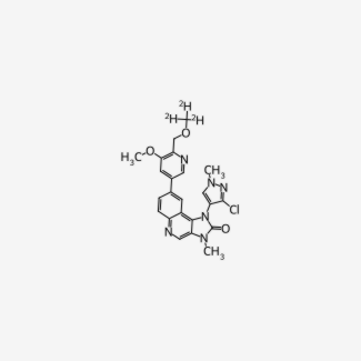 [2H]C([2H])([2H])OCc1ncc(-c2ccc3ncc4c(c3c2)n(-c2cn(C)nc2Cl)c(=O)n4C)cc1OC